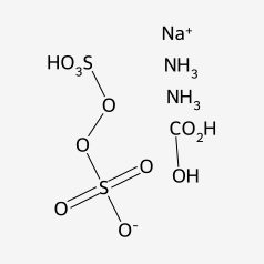 N.N.O=C(O)O.O=S(=O)([O-])OOS(=O)(=O)O.[Na+]